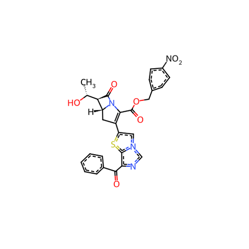 C[C@@H](O)[C@H]1C(=O)N2C(C(=O)OCc3ccc([N+](=O)[O-])cc3)=C(c3cn4cnc(C(=O)c5ccccc5)c4s3)C[C@H]12